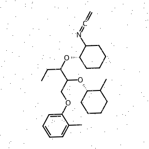 C=C=NC1CCCC[C@@H]1OC(CC)C(COc1ccccc1C)O[C@H]1CCCCC1C